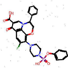 O=C(O)c1cn2c3c(c(N4CCN(P(=O)(O)Oc5ccccc5)CC4)c(F)cc3c1=O)OCC2c1ccccc1